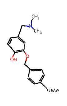 COc1ccc(COc2cc(CN(C)C)ccc2O)cc1